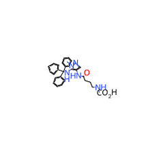 Cn1ncc(NC(=O)CCCNC(=O)O)c1NC(c1ccccc1)(c1ccccc1)c1ccccc1